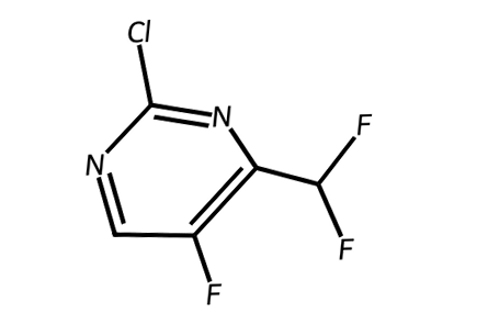 Fc1cnc(Cl)nc1C(F)F